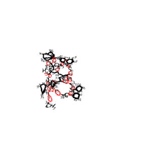 C=COCO[Si](OCCOC(=O)C(C)(CC1CC(C)(CC2CC(C)(CC)C(=O)OCCO[Si](c3ccccc3)(c3ccccc3)OCO2)C(=O)OCCO[Si](c2ccccc2)(c2ccccc2)OCO1)CC(C)(CC)C(=O)OC1(C(C)C)C2CC3CC(C2)CC1C3)(c1ccccc1)c1ccccc1